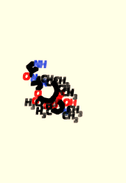 CO[C@]1(C)C[C@@H](C)CN(C)C(C2CN(C(=O)[C@H]3CCNC3)C2)COC(=O)C(C)(C)C(=O)[C@H](C)[C@H]1O[C@@H]1O[C@H](C)C[C@H](N(C)C)[C@H]1O